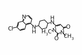 Cn1c(NC2CCC(Nc3ccnc4cc(Cl)ccc34)CC2)cc(=O)n(C)c1=O